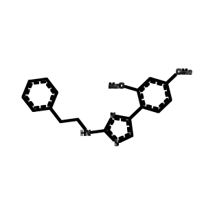 COc1ccc(-c2csc(NCCc3ccccc3)n2)c(OC)c1